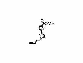 C#CCCCn1ccc(-c2ccc(C(=O)OC)s2)n1